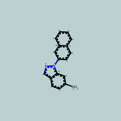 O=[N+]([O-])c1ccc2cnn(-c3ccc4ccccc4c3)c2c1